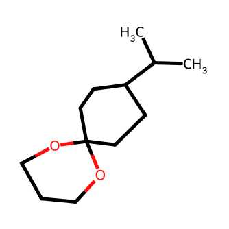 CC(C)C1CCC2(CC1)OCCCO2